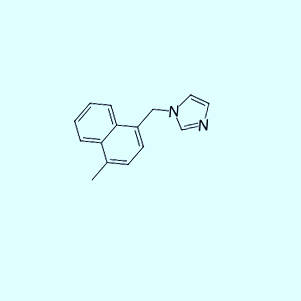 Cc1ccc(Cn2ccnc2)c2ccccc12